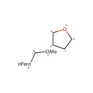 C1CCOC1.CCCCCCOC